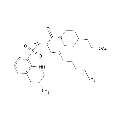 CC(=O)OCCC1CCN(C(=O)C(CSCCCCN)NS(=O)(=O)c2cccc3c2NC[C@H](C)C3)CC1